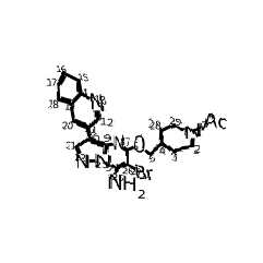 CC(=O)N1CCC(COc2nc3c(-c4cnc5ccccc5c4)cnn3c(N)c2Br)CC1